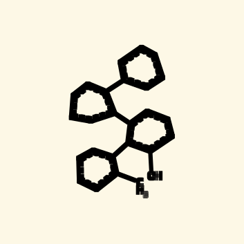 Cc1ccccc1-c1c(O)cccc1-c1ccccc1-c1ccccc1